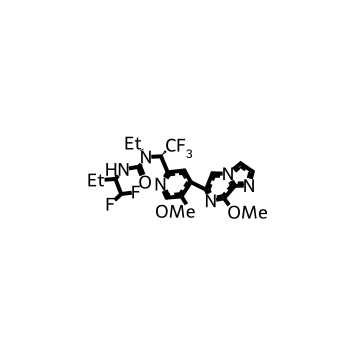 CCC(NC(=O)N(CC)[C@@H](c1cc(-c2cn3ccnc3c(OC)n2)c(OC)cn1)C(F)(F)F)C(F)F